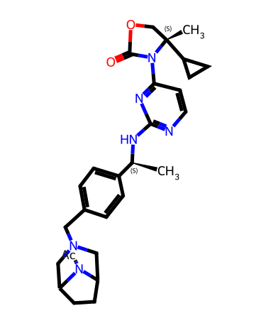 CC(=O)N1C2CCC1CN(Cc1ccc([C@H](C)Nc3nccc(N4C(=O)OC[C@]4(C)C4CC4)n3)cc1)C2